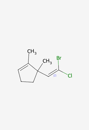 CC1=CCCC1(C)/C=C(/Cl)Br